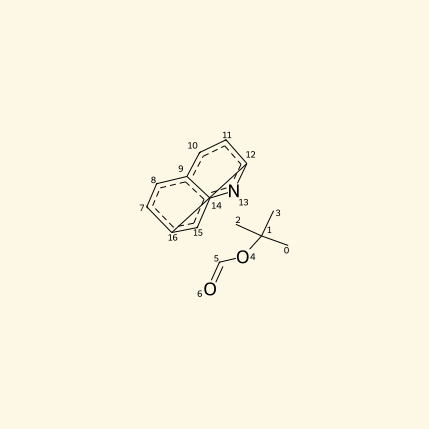 CC(C)(C)OC=O.c1cc2ccc3nc2cc1-3